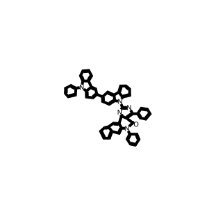 O=c1c2c(-c3ccccc3)nc(-n3c4ccccc4c4cc(-c5ccc6c(c5)c5ccccc5n6-c5ccccc5)ccc43)nc2c2cc3ccccc3cc2n1-c1ccccc1